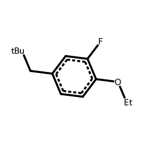 CCOc1ccc(CC(C)(C)C)cc1F